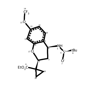 CCOC(=O)C1([C@@H]2C[C@H](N[S@+]([O-])C(C)(C)C)c3ccc(OC(F)(F)F)cc3O2)CC1